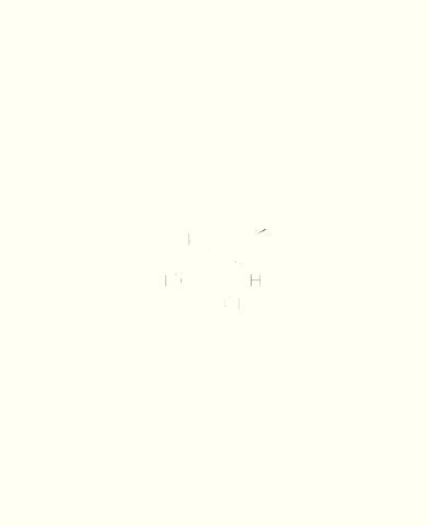 C[C@@H]1C[C@H]2C[C@@H]1[C@H](O)[C@@H]2O